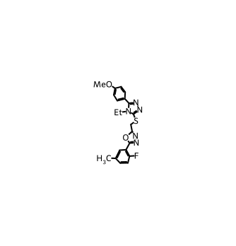 CCn1c(SCc2nnc(-c3cc(C)ccc3F)o2)nnc1-c1ccc(OC)cc1